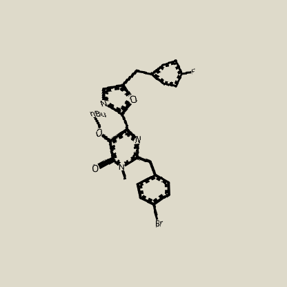 CCCCOc1c(-c2ncc(Cc3ccc(F)cc3)o2)nc(Cc2ccc(Br)cc2)n(C)c1=O